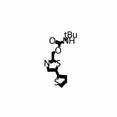 CC(C)(C)NC(=O)OCc1ncc(-c2cccs2)s1